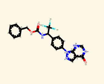 O=C(NC(c1ccc(-n2ncc3c(=O)nc[nH]c32)cc1)C(F)(F)F)OCc1ccccc1